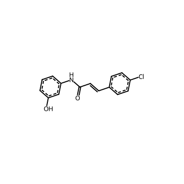 O=C(/C=C/c1ccc(Cl)cc1)Nc1cccc(O)c1